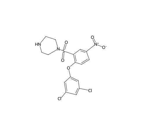 O=[N+]([O-])c1ccc(Oc2cc(Cl)cc(Cl)c2)c(S(=O)(=O)N2CCNCC2)c1